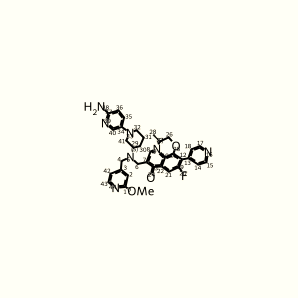 COc1cc(CN(Cc2cn3c4c(c(-c5ccncc5)c(F)cc4c2=O)OC[C@@H]3C)[C@H]2CCCN(c3ccc(N)nc3)C2)ccn1